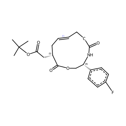 CC(C)(C)OC(=O)C[C@@H]1C/C=C/CCC(=O)N[C@H](c2ccc(F)cc2)COC1=O